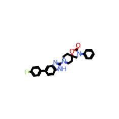 O=C1OC2(CCN(c3nc4cc(-c5ccc(F)cc5)ccc4[nH]3)CC2)CN1c1ccccc1